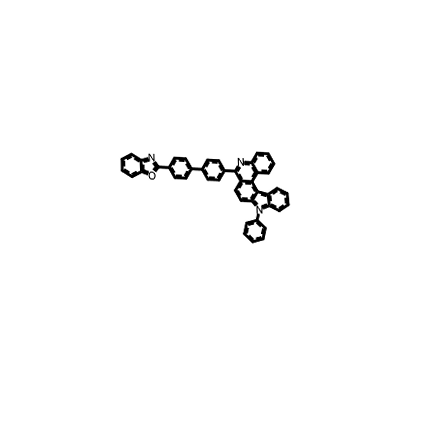 c1ccc(-n2c3ccccc3c3c4c(ccc32)c(-c2ccc(-c3ccc(-c5nc6ccccc6o5)cc3)cc2)nc2ccccc24)cc1